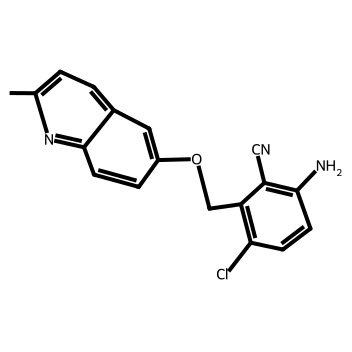 Cc1ccc2cc(OCc3c(Cl)ccc(N)c3C#N)ccc2n1